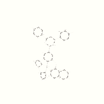 Cc1ccc(-c2cc(-c3ccc(C)cc3)nc(-c3ccc4c(c3)Sc3c(ccc5ccccc35)C43c4ccccc4-c4ccccc43)n2)cc1